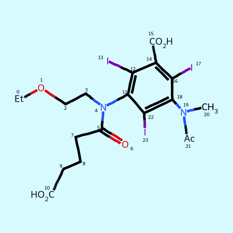 CCOCCN(C(=O)CCCC(=O)O)c1c(I)c(C(=O)O)c(I)c(N(C)C(C)=O)c1I